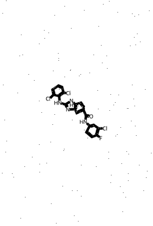 O=C(Nc1ccc(F)c(Cl)c1)c1ccc2[nH]c(Nc3c(Cl)cccc3Cl)nc2c1